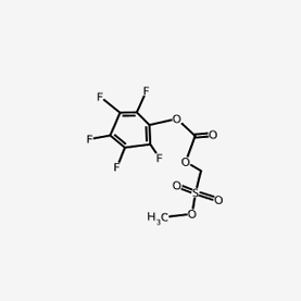 COS(=O)(=O)COC(=O)Oc1c(F)c(F)c(F)c(F)c1F